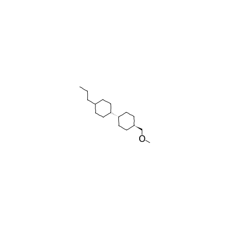 CCCC1CCC([C@H]2CC[C@H](COC)CC2)CC1